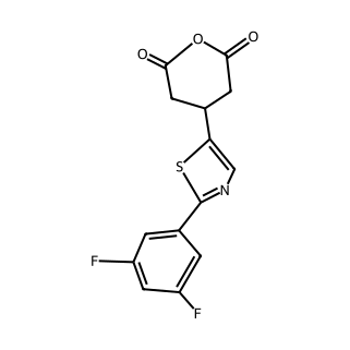 O=C1CC(c2cnc(-c3cc(F)cc(F)c3)s2)CC(=O)O1